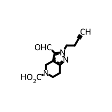 C#CCCn1nc2c(c1C=O)CN(C(=O)O)CC2